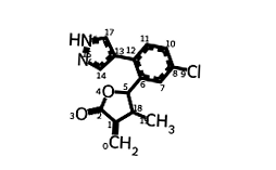 C=C1C(=O)OC(c2cc(Cl)ccc2-c2cn[nH]c2)C1C